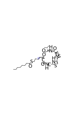 CCCCCCCC(=O)SCC/C=C/[C@@H]1CC(=O)NCC2NC(=CS2)C2=N[C@@](C)(CS2)C(=O)N[C@@H](C(C)C)C(=O)O1